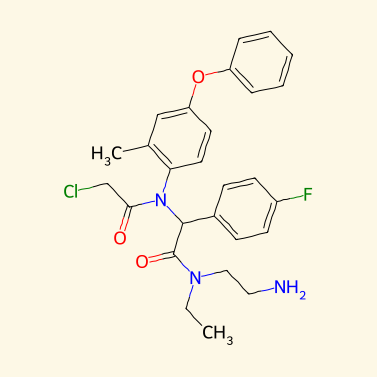 CCN(CCN)C(=O)C(c1ccc(F)cc1)N(C(=O)CCl)c1ccc(Oc2ccccc2)cc1C